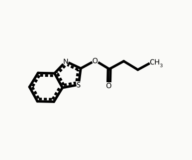 CCCC(=O)Oc1nc2ccccc2s1